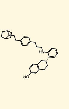 Oc1ccc2c(c1)CC[C@@H](c1ccccc1NCCCc1ccc(CCN3C4CCC3CC4)cc1)C2